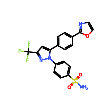 NS(=O)(=O)c1ccc(-n2nc(C(F)(F)F)cc2-c2ccc(-c3ncco3)cc2)cc1